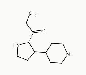 [CH2]CC(=O)[C@H]1NCCC1C1CCNCC1